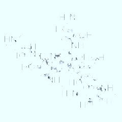 NC[C@@H]1O[C@H](O[C@H]2[C@@H](O)[C@H](O[C@@H]3[C@@H](O)[C@H](NC(=O)[C@@H](O)[C@@H](O)CN)C[C@H](N)[C@H]3O[C@H]3O[C@H](CNCC4(O)CCNCC4)[C@@H](O)C[C@H]3N)O[C@@H]2CO)[C@H](N)[C@@H](O)[C@@H]1O